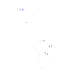 O=c1cc(OCC2CCNCC2)nc2ccccn12